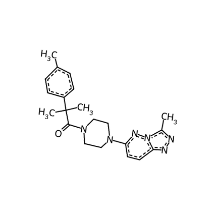 Cc1ccc(C(C)(C)C(=O)N2CCN(c3ccc4nnc(C)n4n3)CC2)cc1